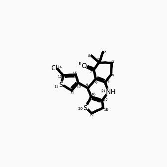 CC1(C)CCC2=C(C1=O)C(c1csc(Cl)c1)C1=C(CCS1)N2